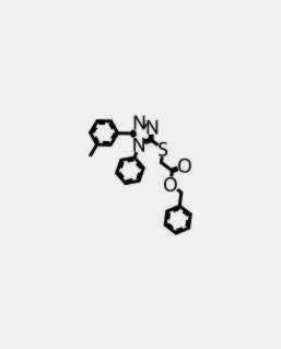 Cc1cccc(-c2nnc(SCC(=O)OCc3ccccc3)n2-c2ccccc2)c1